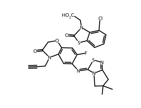 C#CCN1C(=O)COc2cc(F)c(/N=c3\snc4n3CC(C)(C)C4)cc21.O=C(O)Cn1c(=O)sc2cccc(Cl)c21